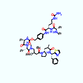 CC[C@H](C)[C@@H]([C@@H](CC(=O)N1CCC[C@H]1C[C@@H](C)C(=O)N[C@@H](Cc1ccccc1)c1nccs1)OC)N(C)C(=O)[C@@H](NC(=O)[C@H](C(C)C)N(C)C(=O)OCc1ccc(NC(=O)[C@H](CCCNC(N)=O)NC(=O)[C@@H](NC(C)C)C(C)C)cc1)C(C)C